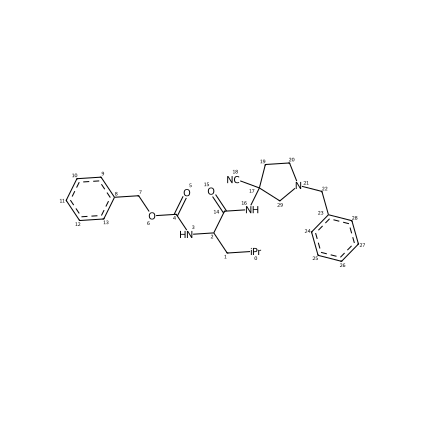 CC(C)CC(NC(=O)OCc1ccccc1)C(=O)NC1(C#N)CCN(Cc2ccccc2)C1